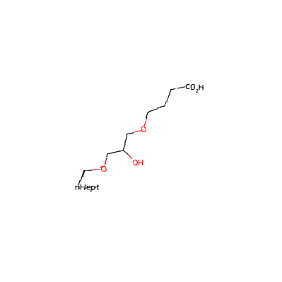 CCCCCCCCOCC(O)COCCCC(=O)O